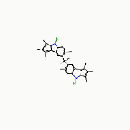 CC1=C(C)C2C(=C1C)c1cc(C(C)(C)c3cc4c(cc3C)N(Br)C3C(C)=C(C)C(C)=C43)c(C)cc1N2Br